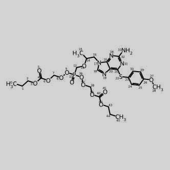 CCCOC(=O)OCOOP(=O)(COC(C)Cn1cnc2c(Sc3ccc(OC)cc3)nc(N)nc21)OOCOC(=O)OCCC